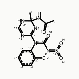 CC(=O)NC1(C)N=C(N(C(=O)N=S(=O)=O)c2ccccc2Cl)N=CN1